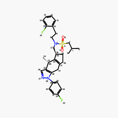 CC(C)CS(=O)(=O)N(CCc1ccccc1F)C[C@H]1CCC2=C1[C@@H](C)c1cnn(-c3ccc(F)cc3)c1C2